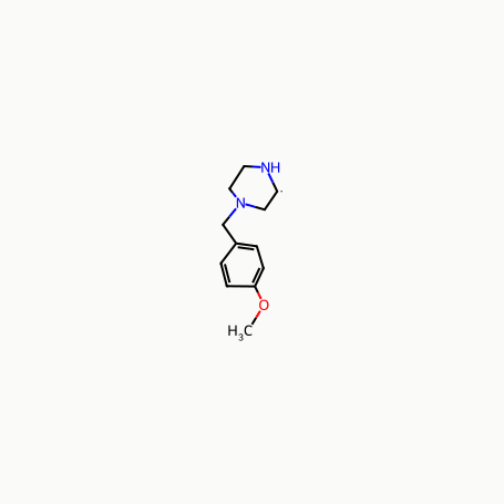 COc1ccc(CN2C[CH]NCC2)cc1